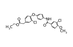 CCOC(=O)Cc1ccc(Oc2ccc(NC(=O)c3ccc(OC)c(Cl)c3)cc2)c(Cl)c1